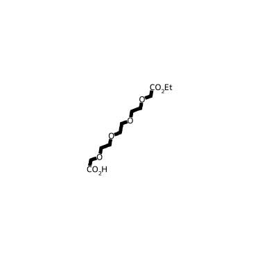 CCOC(=O)COCCOCCOCCOCC(=O)O